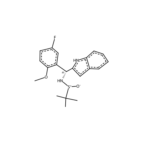 COc1ccc(F)cc1[C@@H](N[S+]([O-])C(C)(C)C)c1cc2ccccc2[nH]1